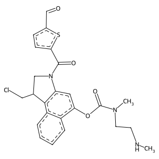 CNCCN(C)C(=O)Oc1cc2c(c3ccccc13)C(CCl)CN2C(=O)c1ccc(C=O)s1